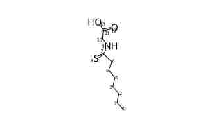 CCCCCCCC(=S)NCC(=O)O